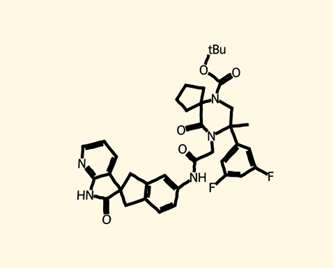 CC(C)(C)OC(=O)N1CC(C)(c2cc(F)cc(F)c2)N(CC(=O)Nc2ccc3c(c2)CC2(C3)C(=O)Nc3ncccc32)C(=O)C12CCCC2